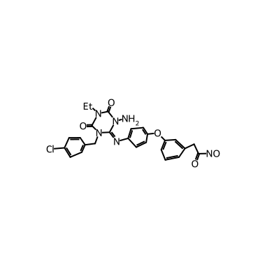 CCn1c(=O)n(N)/c(=N\c2ccc(Oc3cccc(CC(=O)N=O)c3)cc2)n(Cc2ccc(Cl)cc2)c1=O